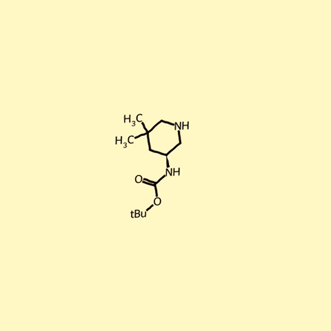 CC1(C)CNC[C@@H](NC(=O)OC(C)(C)C)C1